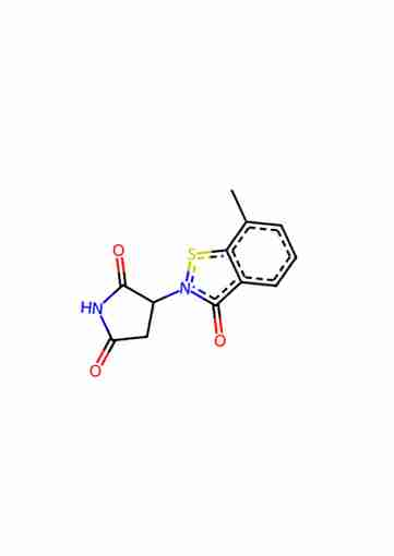 Cc1cccc2c(=O)n(C3CC(=O)NC3=O)sc12